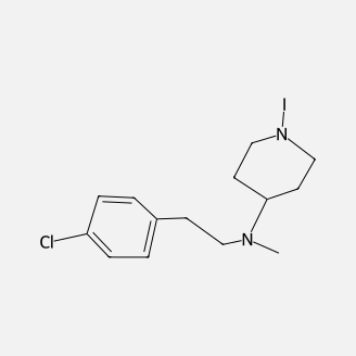 CN(CCc1ccc(Cl)cc1)C1CCN(I)CC1